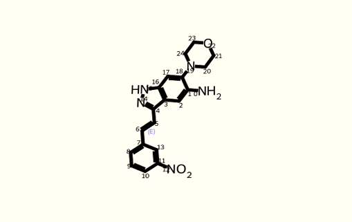 Nc1cc2c(/C=C/c3cccc([N+](=O)[O-])c3)n[nH]c2cc1N1CCOCC1